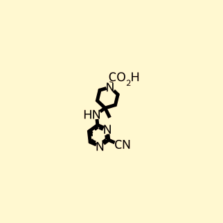 CC1(Nc2ccnc(C#N)n2)CCN(C(=O)O)CC1